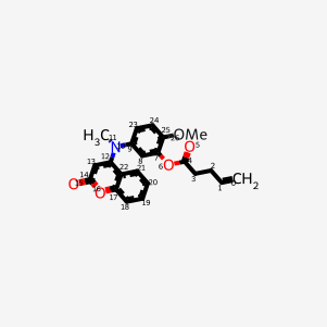 C=CCCC(=O)Oc1cc(N(C)c2cc(=O)oc3ccccc23)ccc1OC